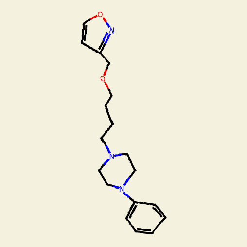 c1ccc(N2CCN(CCCCOCc3ccon3)CC2)cc1